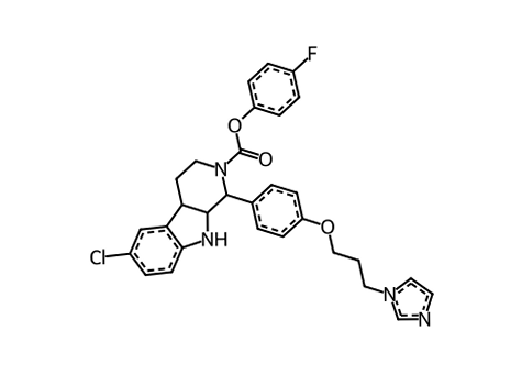 O=C(Oc1ccc(F)cc1)N1CCC2c3cc(Cl)ccc3NC2C1c1ccc(OCCCn2ccnc2)cc1